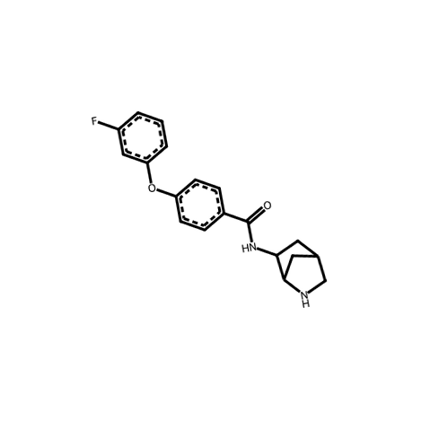 O=C(NC1CC2CNC1C2)c1ccc(Oc2cccc(F)c2)cc1